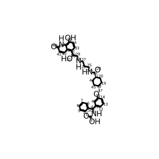 O=C(O)N[C@@H](c1ccccc1)c1cccc(OC[C@H]2CC[C@H](C(=O)NCCCNC[C@H](O)c3ccc(O)c4[nH]c(=O)ccc34)CC2)c1